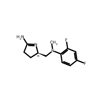 CN(C[C@H]1CCC(N)=N1)c1ccc(F)cc1F